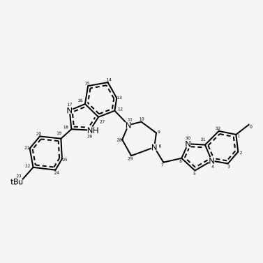 Cc1ccn2cc(CN3CCN(c4cccc5nc(-c6ccc(C(C)(C)C)cc6)[nH]c45)CC3)nc2c1